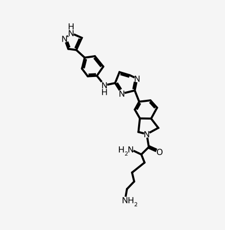 NCCCCC(N)C(=O)N1CC2C=CC(c3nccc(Nc4ccc(-c5cn[nH]c5)cc4)n3)=CC2C1